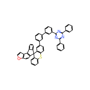 c1ccc(-c2nc(-c3ccccc3)nc(-c3cccc(-c4cccc(-c5ccc6c(c5)C5(c7ccccc7S6)c6ccccc6-c6c5ccc5occc65)c4)c3)n2)cc1